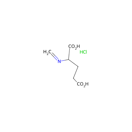 C=NC(CCC(=O)O)C(=O)O.Cl